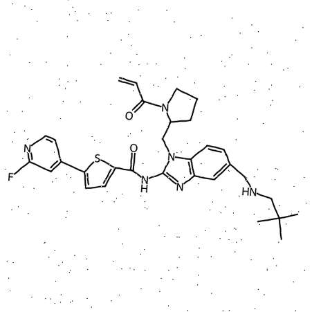 C=CC(=O)N1CCCC1Cn1c(NC(=O)c2ccc(-c3ccnc(F)c3)s2)nc2cc(CNCC(C)(C)C)ccc21